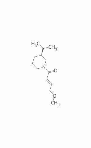 COC/C=C/C(=O)N1CCC[C@@H](C(C)C)C1